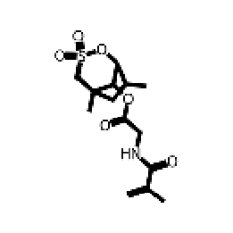 C=C(C)C(=O)NCC(=O)OC1C2OS(=O)(=O)CC1(C)CC2C